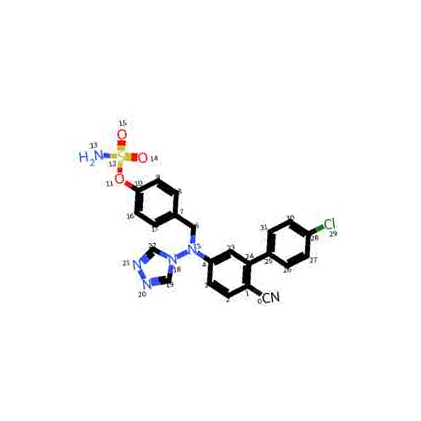 N#Cc1ccc(N(Cc2ccc(OS(N)(=O)=O)cc2)n2cnnc2)cc1-c1ccc(Cl)cc1